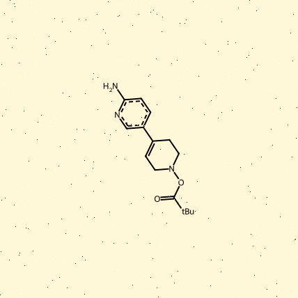 CC(C)(C)C(=O)ON1CC=C(c2ccc(N)nc2)CC1